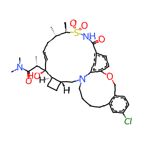 C[C@@H]1[C@@H](C)C/C=C/[C@@](O)([C@@H](C)C(=O)N(C)C)[C@@H]2CC[C@H]2CN2CCCCc3cc(Cl)ccc3COc3ccc(cc32)C(=O)NS1(=O)=O